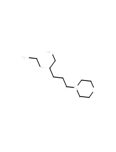 CC(C)(C)CC[C@H](CO)CCCN1CCSCC1